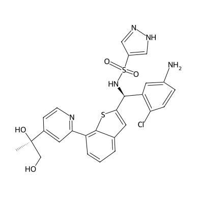 C[C@@](O)(CO)c1ccnc(-c2cccc3cc([C@@H](NS(=O)(=O)c4cn[nH]c4)c4cc(N)ccc4Cl)sc23)c1